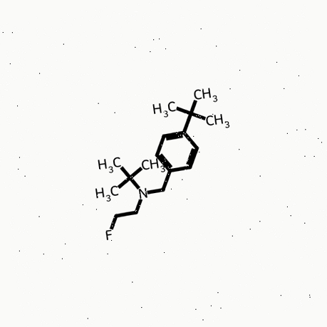 CC(C)(C)c1ccc(CN(CCF)C(C)(C)C)cc1